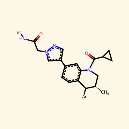 CCNC(=O)Cn1cc(-c2ccc3c(c2)N(C(=O)C2CC2)C[C@H](C)C3C(C)=O)cn1